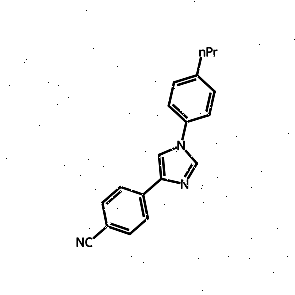 CCCc1ccc(-n2cnc(-c3ccc(C#N)cc3)c2)cc1